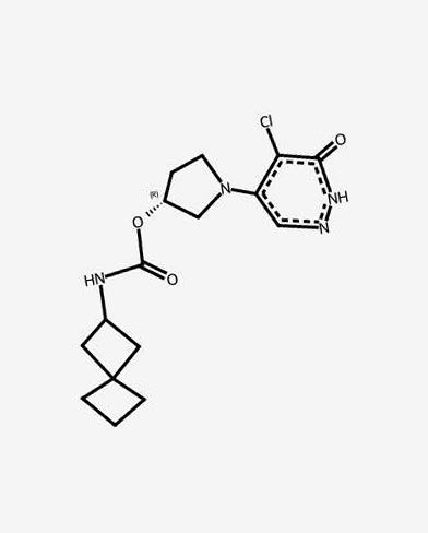 O=C(NC1CC2(CCC2)C1)O[C@@H]1CCN(c2cn[nH]c(=O)c2Cl)C1